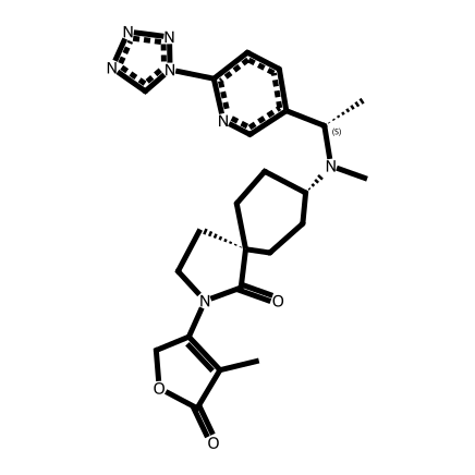 CC1=C(N2CC[C@]3(CC[C@@H](N(C)[C@@H](C)c4ccc(-n5cnnn5)nc4)CC3)C2=O)COC1=O